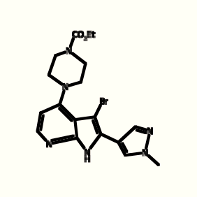 CCOC(=O)N1CCN(c2ccnc3[nH]c(-c4cnn(C)c4)c(Br)c23)CC1